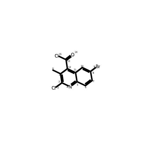 Cc1c(Cl)nc2ccc(Br)cc2c1C(=O)Cl